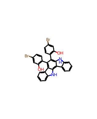 Oc1cc(Br)ccc1-c1c(-c2ccc(Br)cc2O)c2c3ccccc3[nH]c2c2c1[nH]c1ccccc12